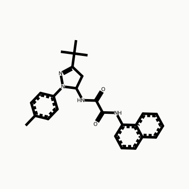 Cc1ccc(N2N=C(C(C)(C)C)CC2NC(=O)C(=O)Nc2cccc3ccccc23)cc1